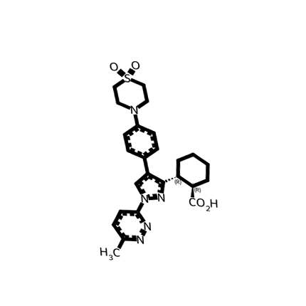 Cc1ccc(-n2cc(-c3ccc(N4CCS(=O)(=O)CC4)cc3)c([C@@H]3CCCC[C@H]3C(=O)O)n2)nn1